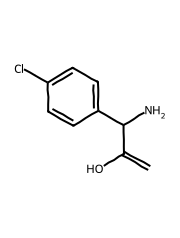 C=C(O)C(N)c1ccc(Cl)cc1